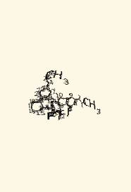 CCCc1cc(F)c2c(c1)Cc1cc(-c3ccccc3C3CCC(CCC)CC3)c(F)c(F)c1-2